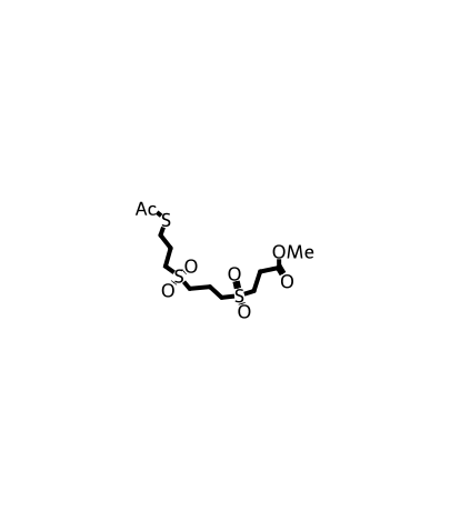 COC(=O)CCS(=O)(=O)CCCS(=O)(=O)CCCSC(C)=O